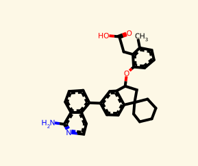 Cc1cccc(OC2CC3(CCCCC3)c3ccc(-c4cccc5c(N)nccc45)cc32)c1CC(=O)O